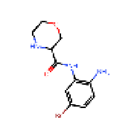 Nc1ccc(Br)cc1NC(=O)[C@@H]1COCCN1